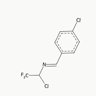 FC(F)(F)C(Cl)/N=C/c1ccc(Cl)cc1